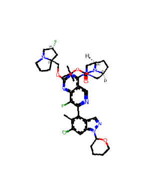 Cc1c(Cl)cc2c(cnn2C2CCCCO2)c1-c1ncc2c(N3C[C@H]4CC[C@@H](C3)N4C(=O)OC(C)(C)C)nc(OC[C@@]34CCCN3C[C@H](F)C4)nc2c1F